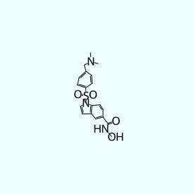 CN(C)Cc1ccc(S(=O)(=O)n2ccc3cc(C(=O)NO)ccc32)cc1